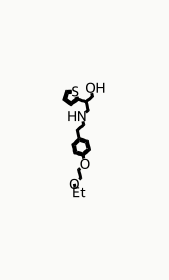 CCOCCOc1ccc(CCNCC(CO)c2cccs2)cc1